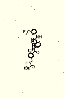 CC(C)(C)C(=O)NCc1ccc(Cl)c(C(=O)Nc2ccnc3c(Nc4cccc(C(F)(F)F)c4)noc23)c1